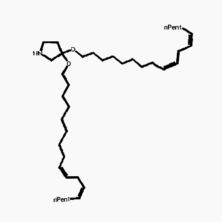 CCCCC/C=C\C/C=C\CCCCCCCCOC1(OCCCCCCCC/C=C\C/C=C\CCCCC)CCNC1